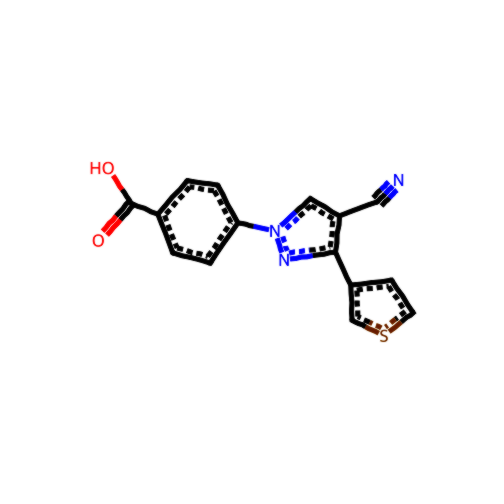 N#Cc1cn(-c2ccc(C(=O)O)cc2)nc1-c1ccsc1